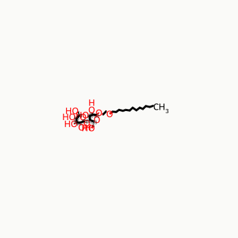 CCCCCCCCCCCCCCOCCO[C@H]1O[C@H](CO)[C@@H](O[C@H]2O[C@H](CO)[C@@H](O)[C@H](O)[C@H]2O)[C@H](O)[C@H]1O